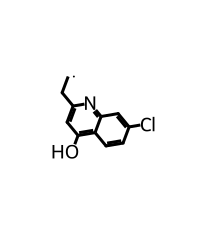 [CH2]Cc1cc(O)c2ccc(Cl)cc2n1